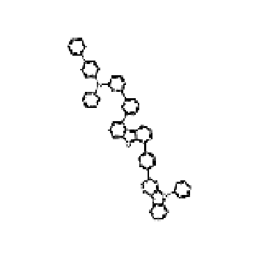 c1ccc(-c2ccc(N(c3ccccc3)c3cccc(-c4cccc(-c5cccc6oc7c(-c8ccc(-c9ccc%10c%11ccccc%11n(-c%11ccccc%11)c%10c9)cc8)cccc7c56)c4)c3)cc2)cc1